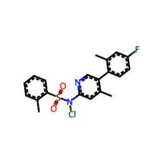 Cc1cc(F)ccc1-c1cnc(N(Cl)S(=O)(=O)c2ccccc2C)cc1C